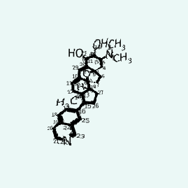 CN(C)[C@H]1C[C@@]23CC[C@@]4(O2)C(=CC[C@]2(C)C(c5ccc6ccncc6c5)CC[C@@H]42)C=C3[C@@H](O)[C@@H]1O